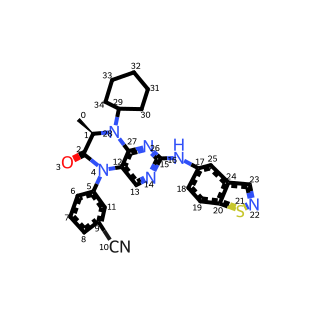 C[C@@H]1C(=O)N(c2cccc(C#N)c2)c2cnc(Nc3ccc4sncc4c3)nc2N1C1CCCCC1